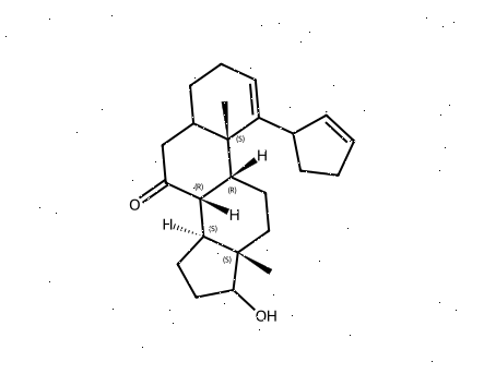 C[C@]12C(C3[C]=CCC3)=CCCC1CC(=O)[C@@H]1[C@H]2CC[C@]2(C)C(O)CC[C@@H]12